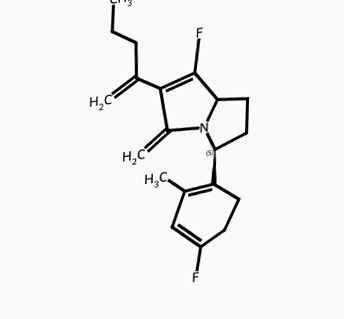 C=C(CCC)C1=C(F)C2CC[C@@H](C3=C(C)C=C(F)CC3)N2C1=C